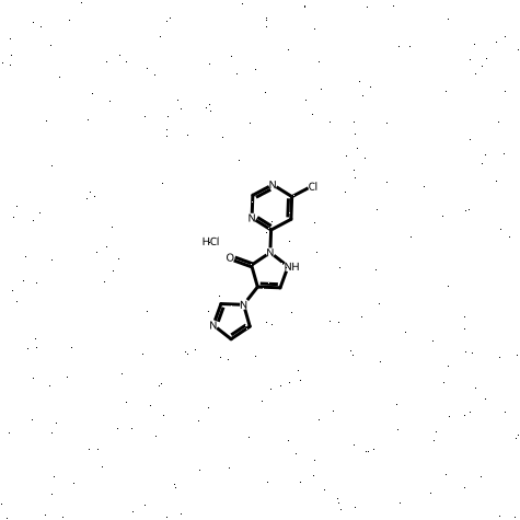 Cl.O=c1c(-n2ccnc2)c[nH]n1-c1cc(Cl)ncn1